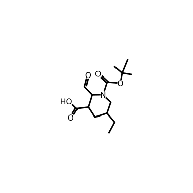 CCC1CC(C(=O)O)C(C=O)N(C(=O)OC(C)(C)C)C1